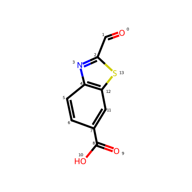 O=Cc1nc2ccc(C(=O)O)cc2s1